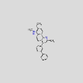 CCc1ccc2c(ccc3c(-c4cccc(-c5ccccc5)c4)cc(C)nc32)c1NC